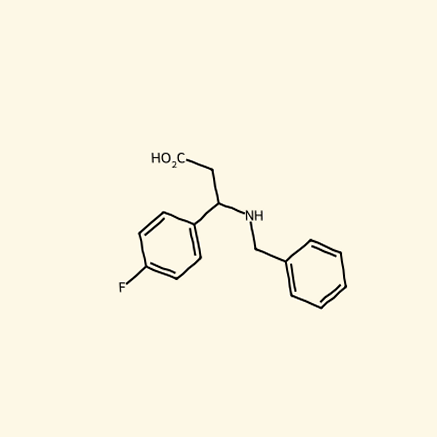 O=C(O)CC(NCc1ccccc1)c1ccc(F)cc1